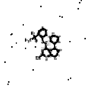 CC(F)(F)c1ccccc1CNc1nc(Cl)nc2cccc(-c3ccccc3)c12